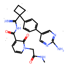 CNC(=O)Cn1cccc(C(=O)NC(=N)C2(c3ccc(-c4cnc(N)nc4)cc3)CCC2)c1=O